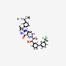 CC(C)c1cccc(C2(c3nc4c(c(=O)[nH]3)CN(C(=O)C(O)c3cccc(-c5cccc(C(F)(F)F)c5)c3)CC4)CC2)c1